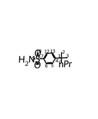 CCCC(C)(C)c1ccc(S(N)(=O)=O)cc1